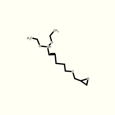 CCO[SiH](C=CCCCOCC1CO1)OCC